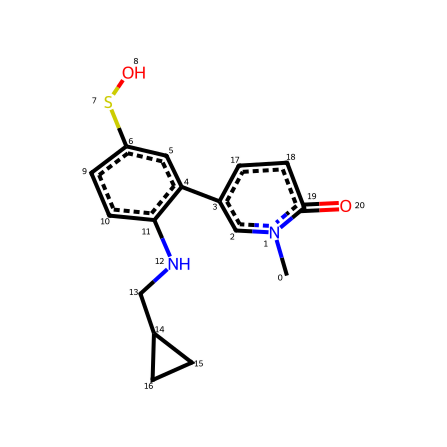 Cn1cc(-c2cc(SO)ccc2NCC2CC2)ccc1=O